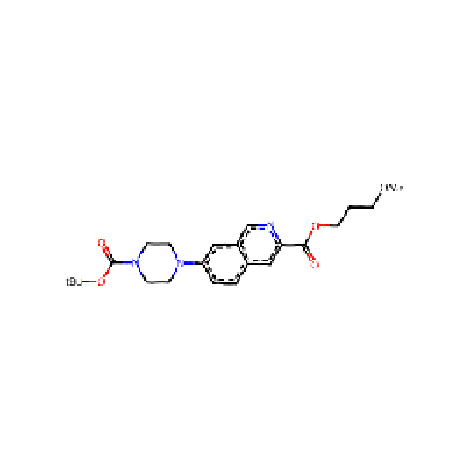 COCCCOC(=O)c1cc2ccc(N3CCN(C(=O)OC(C)(C)C)CC3)cc2cn1